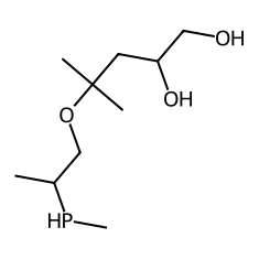 CPC(C)COC(C)(C)CC(O)CO